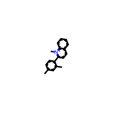 Cc1ccc(-c2ccc3ccccc3[n+]2C)c(C)c1